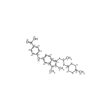 Cc1c(C)n(CC(C)CN2CCN(C)CC2)c2ccc(Oc3ccc(C(=O)O)cc3)cc12